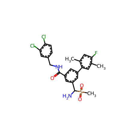 Cc1cc(-c2cc(C(=O)NCc3ccc(Cl)c(Cl)c3)cc(C(N)S(C)(=O)=O)c2)c(C)cc1F